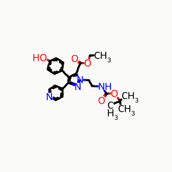 CCOC(=O)c1c(-c2ccc(O)cc2)c(-c2ccncc2)nn1CCNC(=O)OC(C)(C)C